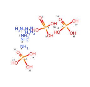 N.N.N.N.N.N.O=P(O)(O)O.O=P(O)(O)O.O=P(O)(O)O